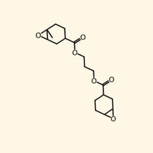 CC12CCC(C(=O)OCCCOC(=O)C3CCC4OC4C3)CC1O2